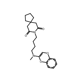 CN(CCCCN1C(=O)CC2(CCCC2)CC1=O)C1=COc2ccccc2O1